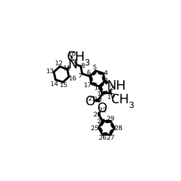 Cc1[nH]c2ccc(CCN(C)C3CCCCC3)cc2c1C(=O)OCc1ccccc1